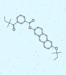 CCC(C)(C)Oc1ccc2cc3cc(OC(=O)c4cccc(C(=O)C(C)(C)CC)c4)ccc3cc2c1